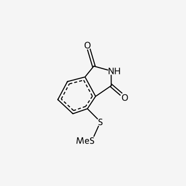 CSSc1cccc2c1C(=O)NC2=O